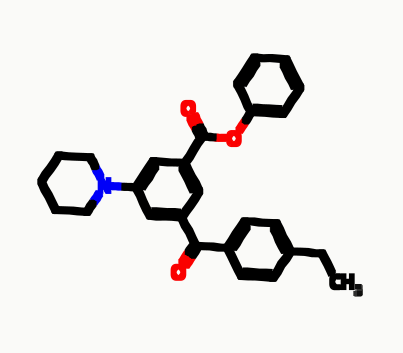 CCc1ccc(C(=O)c2cc(C(=O)Oc3ccccc3)cc(N3CCCCC3)c2)cc1